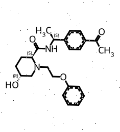 CC(=O)c1ccc([C@H](C)NC(=O)[C@@H]2CC[C@@H](O)CN2CCOc2ccccc2)cc1